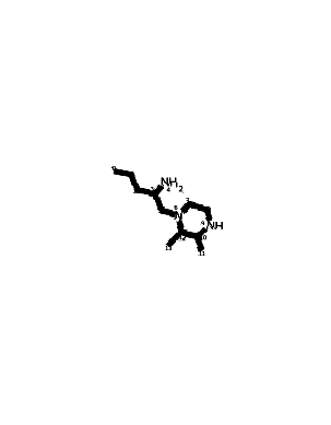 CCCC(N)CN1CCNC(C)C1C